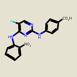 O=C(O)c1ccc(Nc2ncc(F)c(Nc3ccccc3[N+](=O)[O-])n2)cc1